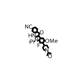 COc1cc2c3c(=O)c4ccc(C#N)cc4[nH]c3n(C(C)C)c2c(F)c1C1CCN(C2COC2)CC1